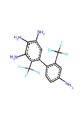 Nc1ccc(-c2cc(N)c(N)c(N)c2C(F)(F)F)c(C(F)(F)F)c1